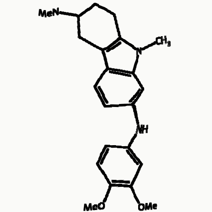 CNC1CCc2c(c3ccc(Nc4ccc(OC)c(OC)c4)cc3n2C)C1